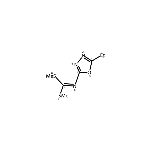 CCc1nnc(N=C(SC)SC)o1